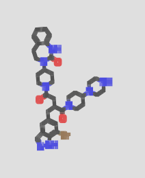 O=C(CC(Cc1cc(Br)c2[nH]ncc2c1)C(=O)N1CCC(N2CCNCC2)CC1)N1CCC(N2CCc3ccccc3NC2=O)CC1